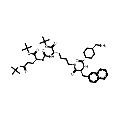 CC(C)(C)OC(=O)CC[C@H](NC(=O)N[C@@H](CCCCNC(=O)[C@H](Cc1ccc2ccccc2c1)NC(=O)[C@H]1CC[C@H](CN)CC1)C(=O)OC(C)(C)C)C(=O)OC(C)(C)C